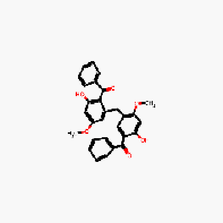 COc1cc(O)c(C(=O)c2ccccc2)c(Cc2cc(C(=O)c3ccccc3)c(O)cc2OC)c1